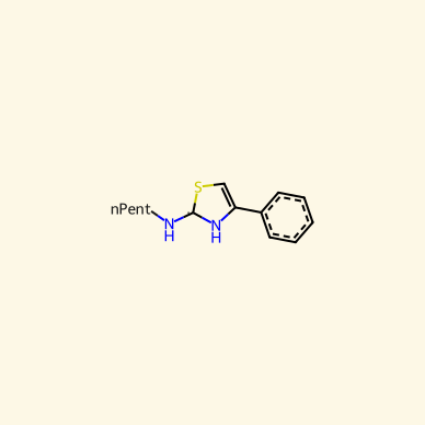 CCCCCN[C]1NC(c2ccccc2)=CS1